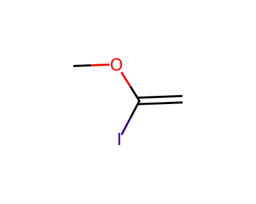 C=C(I)OC